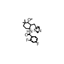 COC1C(Cn2cncn2)[C@H](NC(=O)c2ccc(F)cc2F)CCC1(C)C